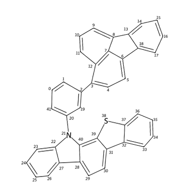 c1cc(-c2ccc3c4c(cccc24)-c2ccccc2-3)cc(-n2c3ccccc3c3ccc4c5ccccc5sc4c32)c1